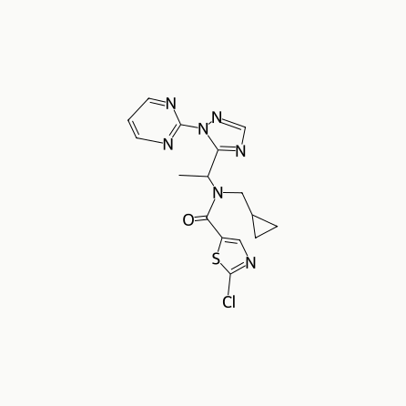 CC(c1ncnn1-c1ncccn1)N(CC1CC1)C(=O)c1cnc(Cl)s1